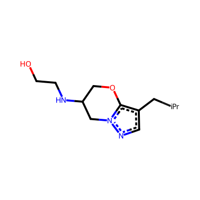 CC(C)Cc1cnn2c1OCC(NCCO)C2